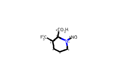 O=NN1CCCC(C(F)(F)F)C1C(=O)O